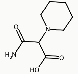 NC(=O)C(C(=O)O)N1CCCCC1